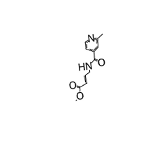 COC(=O)/C=C/CNC(=O)c1ccnc(C)c1